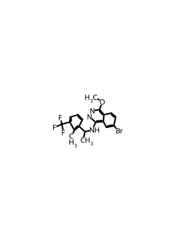 COc1nnc(NC(C)c2cccc(C(F)(F)F)c2C)c2cc(Br)ccc12